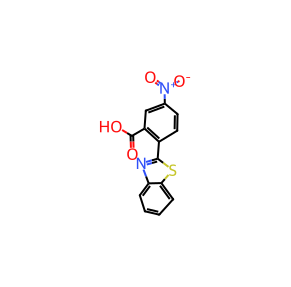 O=C(O)c1cc([N+](=O)[O-])ccc1-c1nc2ccccc2s1